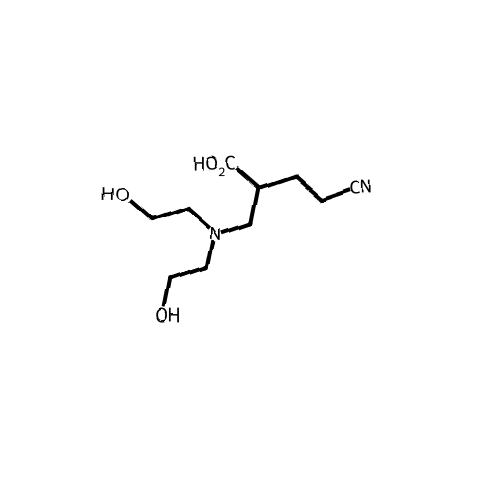 N#CCCC(CN(CCO)CCO)C(=O)O